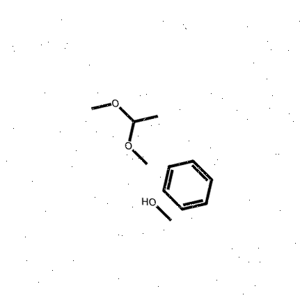 CO.COC(C)OC.c1ccccc1